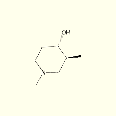 C[C@H]1CN(C)CC[C@@H]1O